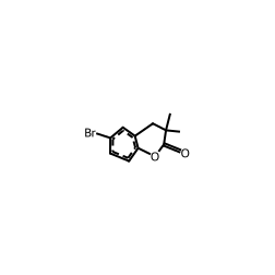 CC1(C)Cc2cc(Br)ccc2OC1=O